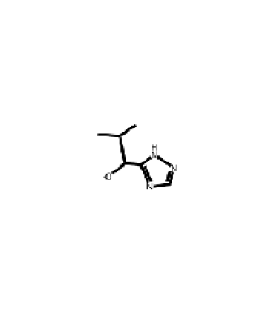 CC(C)C([O])c1ncn[nH]1